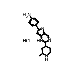 CC1CC(c2ncc3nc(-c4ccc(N)cc4)cc-3[nH]2)CCN1.Cl